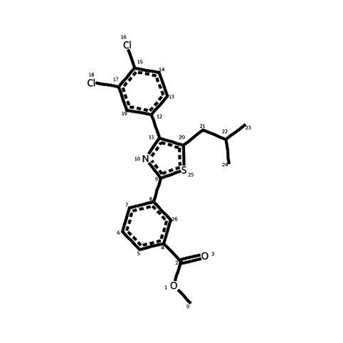 COC(=O)c1cccc(-c2nc(-c3ccc(Cl)c(Cl)c3)c(CC(C)C)s2)c1